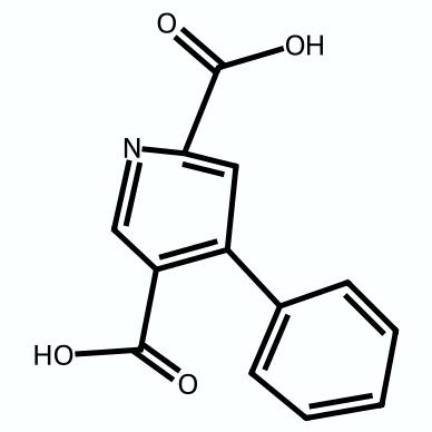 O=C(O)c1cc(-c2ccccc2)c(C(=O)O)cn1